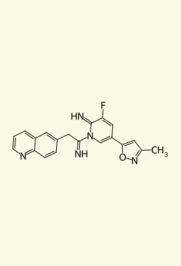 Cc1cc(-c2cc(F)c(=N)n(C(=N)Cc3ccc4ncccc4c3)c2)on1